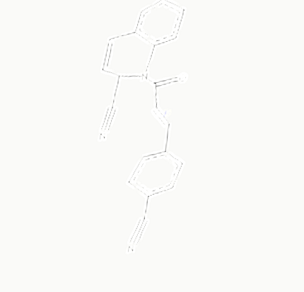 N#Cc1ccc(/C=C/C(=O)N2c3ccccc3C=CC2C#N)cc1